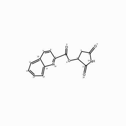 O=C1CC(OC(=O)c2ccc3ccccc3n2)C(=O)N1